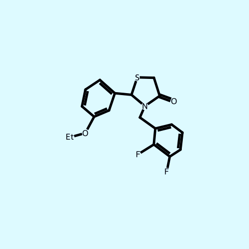 CCOc1cccc(C2SCC(=O)N2Cc2cccc(F)c2F)c1